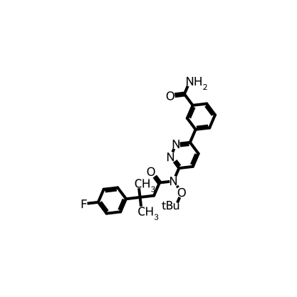 CC(C)(C)ON(C(=O)CC(C)(C)c1ccc(F)cc1)c1ccc(-c2cccc(C(N)=O)c2)nn1